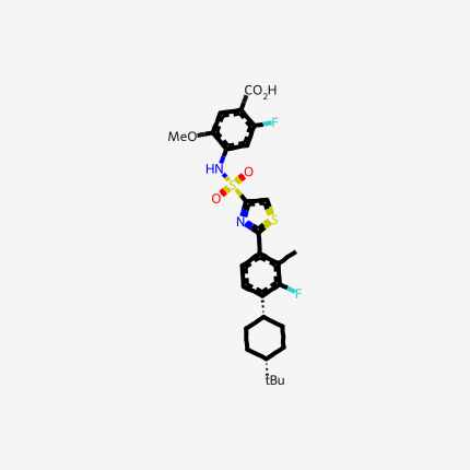 COc1cc(C(=O)O)c(F)cc1NS(=O)(=O)c1csc(-c2ccc([C@H]3CC[C@@H](C(C)(C)C)CC3)c(F)c2C)n1